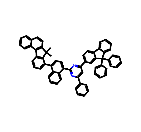 CC1(C)c2ccc3ccccc3c2-c2cccc(-c3ccc(-c4nc(-c5ccccc5)cc(-c5ccc6c(c5)C(c5ccccc5)(c5ccccc5)c5ccccc5-6)n4)c4ccccc34)c21